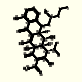 CCC[S+]([O-])C[C@@H]1c2cccc(O)c2C(=O)C2=C(O)[C@]3(O)C(=O)C(C(N)=O)=C(O)[C@@H](N(C)C)[C@@H]3[C@@H](O)[C@@H]21